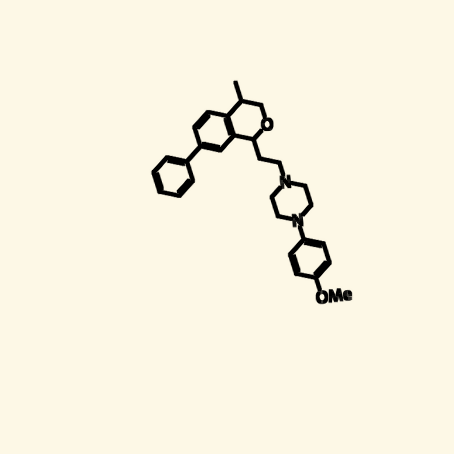 COc1ccc(N2CCN(CCC3OCC(C)c4ccc(-c5ccccc5)cc43)CC2)cc1